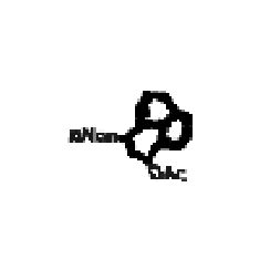 CCCCCCCCCC1=CC(OC(C)=O)c2cccc3cccc1c23